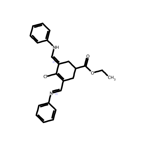 CCOC(=O)C1CC(/C=N/c2ccccc2)=C(Cl)C(=C/Nc2ccccc2)/C1